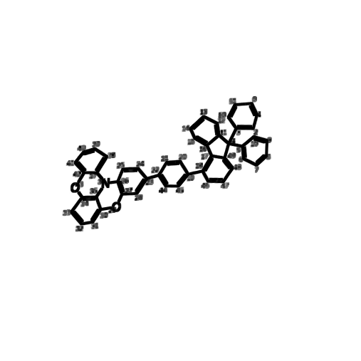 c1ccc(C2(c3ccccc3)c3ccccc3-c3c(-c4ccc(-c5ccc6c(c5)Oc5cccc7c5N6c5ccccc5O7)cc4)cccc32)cc1